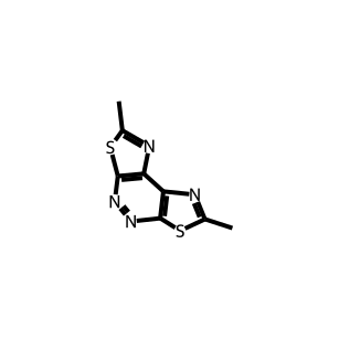 Cc1nc2c(nnc3sc(C)nc32)s1